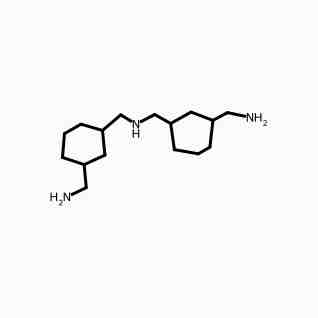 NCC1CCCC(CNCC2CCCC(CN)C2)C1